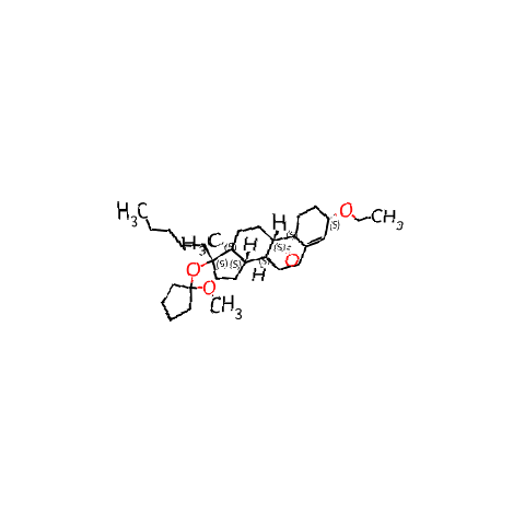 CCCCC[C@]1(OC2(OC)CCCC2)CC[C@H]2[C@@H]3CCC4=C[C@@H](OCC)CC[C@]4(C=O)[C@H]3CC[C@@]21C